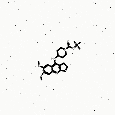 COc1cc2nc3c(c(NC4CCN(C(=O)OC(C)(C)C)CC4)c2cc1OC)CCC3